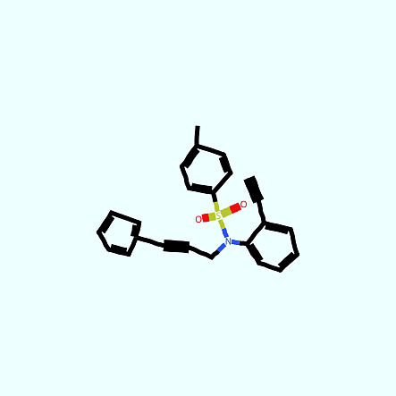 C#Cc1ccccc1N(CC#Cc1ccccc1)S(=O)(=O)c1ccc(C)cc1